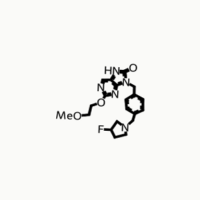 COCCOc1ncc2[nH]c(=O)n(Cc3ccc(CN4CCC(F)C4)cc3)c2n1